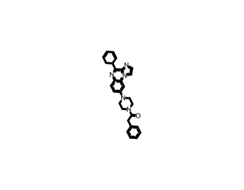 O=C(Cc1ccccc1)N1CCN(c2ccc3nc(C4C=CC=CC4)c4nccn4c3c2)CC1